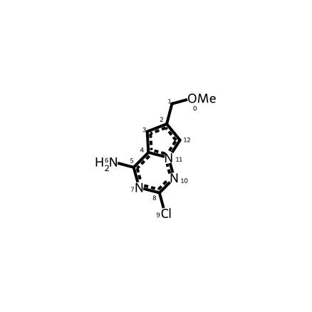 COCc1cc2c(N)nc(Cl)nn2c1